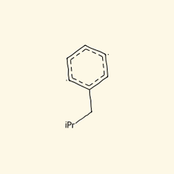 CC(C)Cc1[c]cc[c]c1